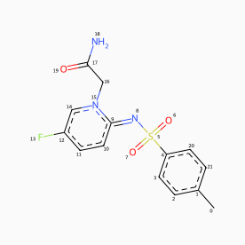 Cc1ccc(S(=O)(=O)/N=c2\ccc(F)cn2CC(N)=O)cc1